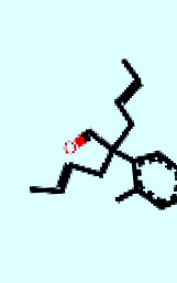 CC=CCC(C=O)(CC=CC)c1ccccc1C